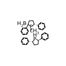 B[C@]1(c2ccccc2)CC[C@H](c2ccccc2)P1C.c1ccc([C@H]2CC[C@H](c3ccccc3)P2)cc1